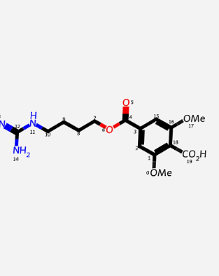 COc1cc(C(=O)OCCCCNC(=N)N)cc(OC)c1C(=O)O